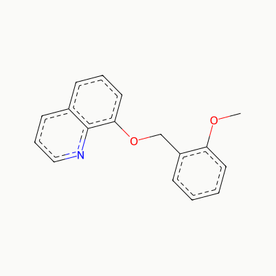 COc1ccccc1COc1cccc2cccnc12